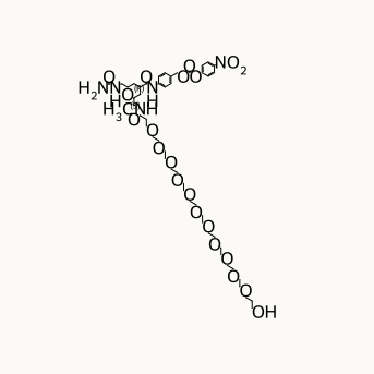 C[C@H](NC(=O)CCOCCOCCOCCOCCOCCOCCOCCOCCOCCOCCOCCCO)C(=O)C[C@@H](CCCNC(N)=O)C(=O)Nc1ccc(COC(=O)Oc2ccc([N+](=O)[O-])cc2)cc1